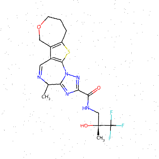 CC1N=Cc2c(sc3c2COCCC3)-n2nc(C(=O)NC[C@@](C)(O)C(F)(F)F)nc21